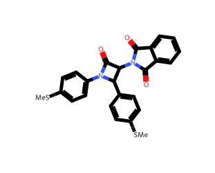 CSc1ccc(C2C(N3C(=O)c4ccccc4C3=O)C(=O)N2c2ccc(SC)cc2)cc1